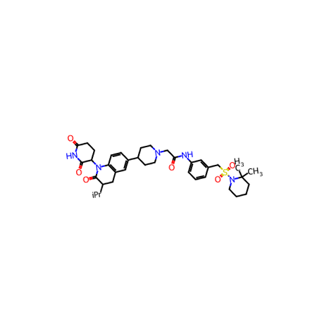 CC(C)C1Cc2cc(C3CCN(CC(=O)Nc4cccc(CS(=O)(=O)N5CCCCC5(C)C)c4)CC3)ccc2N(C2CCC(=O)NC2=O)C1=O